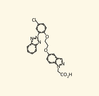 O=C(O)Cn1ncc2cc(OCCOc3ccc(Cl)cc3-n3nc4ccccc4n3)ccc21